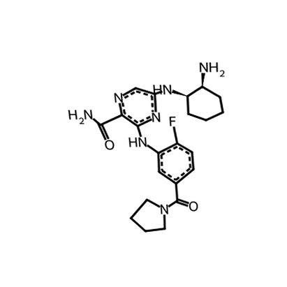 NC(=O)c1ncc(N[C@@H]2CCCC[C@@H]2N)nc1Nc1cc(C(=O)N2CCCC2)ccc1F